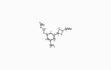 CNC1CN(c2cc(COCC(C)(C)C)nc(N)n2)C1